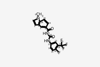 Cn1ccc2cc(C(=O)NC(=O)Nc3ccc(F)c(C(F)(F)F)c3)ccc21